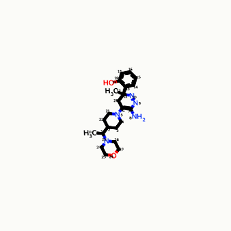 CC(C1CCN(C2=C(N)N=NC(C)(c3ccccc3O)C2)CC1)N1CCOCC1